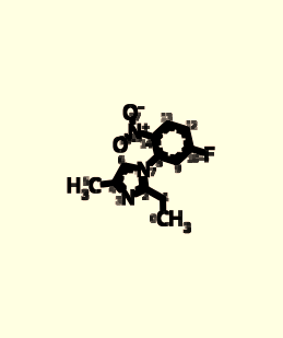 CCc1nc(C)cn1-c1cc(F)ccc1[N+](=O)[O-]